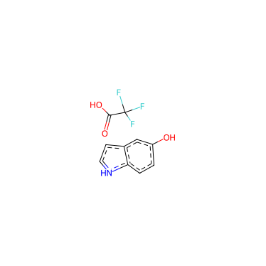 O=C(O)C(F)(F)F.Oc1ccc2[nH]ccc2c1